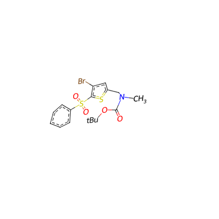 CN(Cc1cc(Br)c(S(=O)(=O)c2ccccc2)s1)C(=O)OC(C)(C)C